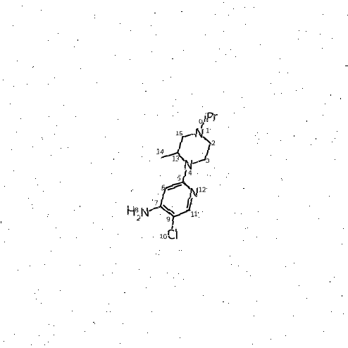 CC(C)N1CCN(c2cc(N)c(Cl)cn2)C(C)C1